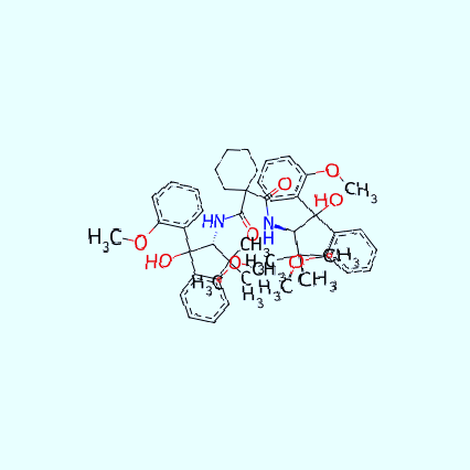 COc1ccccc1C(O)(c1ccccc1OC)[C@H](NC(=O)C1(C(=O)N[C@H](C(C)(C)C)C(O)(c2ccccc2OC)c2ccccc2OC)CCCCC1)C(C)(C)C